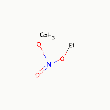 CCO[N+](=O)[O-].[GaH3]